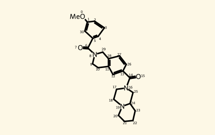 COc1cccc(C(=O)N2CCc3cc(C(=O)N4CCN5CCCCC5C4)ccc3C2)c1